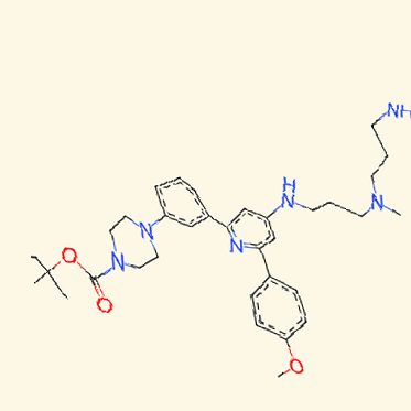 COc1ccc(-c2cc(NCCCN(C)CCCN)cc(-c3cccc(N4CCN(C(=O)OC(C)(C)C)CC4)c3)n2)cc1